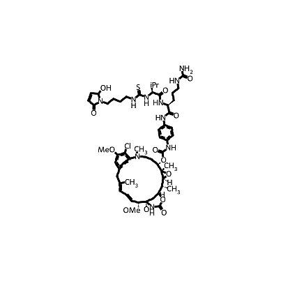 COc1cc2cc(c1Cl)N(C)CC[C@H](OC(=O)Nc1ccc(NC(=O)[C@H](CCCNC(N)=O)NC(=O)[C@@H](NC(=S)NCCCCN3C(=O)C=CC3O)C(C)C)cc1)[C@]1(C)O[C@H]1[C@H](C)[C@@H]1C[C@@](O)(NC(=O)O1)[C@H](OC)/C=C/C=C(\C)C2